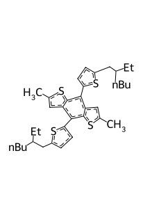 CCCCC(CC)Cc1ccc(-c2c3cc(C)sc3c(-c3ccc(CC(CC)CCCC)s3)c3cc(C)sc23)s1